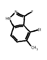 CCc1c(C)ccc2[nH]nc(F)c12